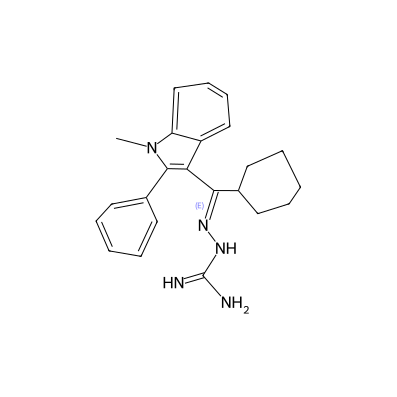 Cn1c(-c2ccccc2)c(/C(=N/NC(=N)N)C2CCCCC2)c2ccccc21